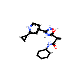 C=C(C(=O)NC1CCCCC1)c1nc(-c2ccnc(C3CC3)c2)no1